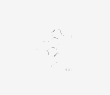 CCC(CCN)c1cc(C)nc(Oc2c(C)cc(Cl)cc2C)c1C